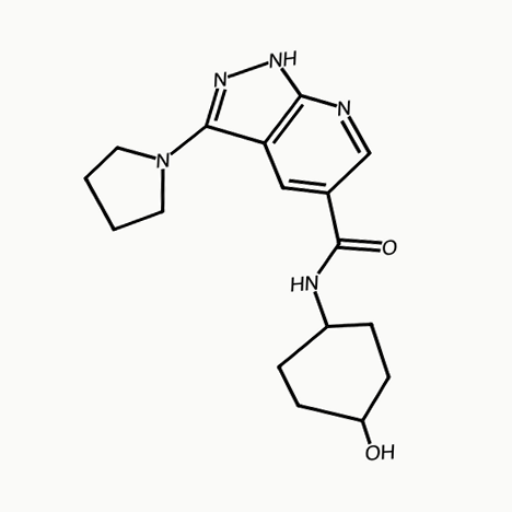 O=C(NC1CCC(O)CC1)c1cnc2[nH]nc(N3CCCC3)c2c1